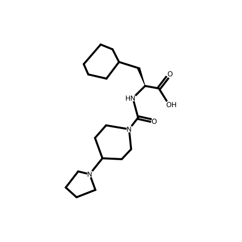 O=C(O)[C@H](CC1CCCCC1)NC(=O)N1CCC(N2CCCC2)CC1